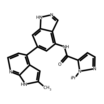 Cc1cc2c(-c3cc(NC(=O)c4ccnn4C(C)C)c4cn[nH]c4c3)ccnc2[nH]1